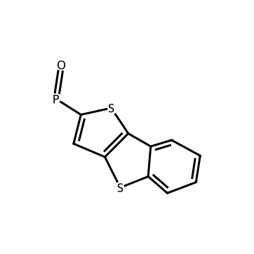 O=Pc1cc2sc3ccccc3c2s1